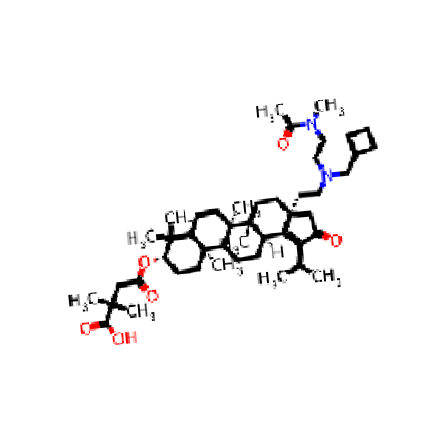 CC(=O)N(C)CCN(CC[C@@]12CC[C@]3(C)[C@H](CCC4[C@@]5(C)CC[C@H](OC(=O)CC(C)(C)C(=O)O)C(C)(C)C5CC[C@]43C)C1=C(C(C)C)C(=O)C2)CC1CCC1